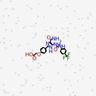 NC(=O)c1nc(-c2ccc(OCC(=O)O)cc2)[nH]c1NC(=O)Nc1ccc(C(F)(F)F)cc1